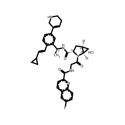 C[C@H](NC(=O)[C@@H]1C[C@H]2C[C@H]2N1C(=O)CNC(=O)c1ccc2cc(F)ccc2n1)c1cc(C2=CCCNC2)ccc1/C=C/C1CC1.Cl